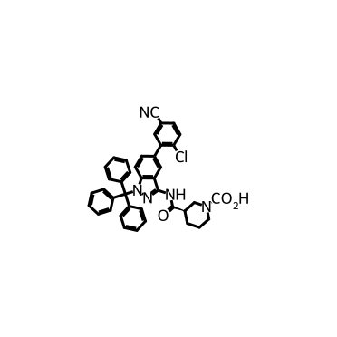 N#Cc1ccc(Cl)c(-c2ccc3c(c2)c(NC(=O)[C@@H]2CCCN(C(=O)O)C2)nn3C(c2ccccc2)(c2ccccc2)c2ccccc2)c1